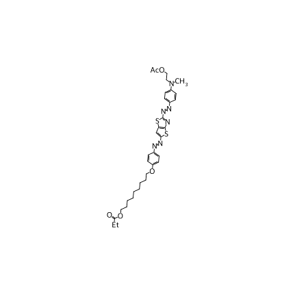 CCC(=O)OCCCCCCCCCOc1ccc(N=Nc2cc3sc(N=Nc4ccc(N(C)CCOC(C)=O)cc4)nc3s2)cc1